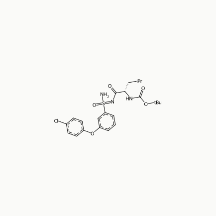 CC(C)C[C@H](NC(=O)OC(C)(C)C)C(=O)N=S(N)(=O)c1cccc(Oc2ccc(Cl)cc2)c1